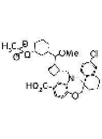 CO[C@H]([C@H]1CCC[C@@H](OS(C)(=O)=O)C1)[C@@H]1CC[C@H]1CN1C[C@]2(CCCc3cc(Cl)ccc32)COc2ccc(C(=O)O)cc21